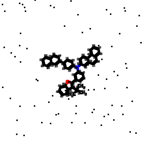 CC(C)(C)c1c(-c2cccc(N(c3ccc(-c4ccc5ccccc5c4)cc3)c3ccc4c(ccc5ccccc54)c3)c2)oc2ccccc12